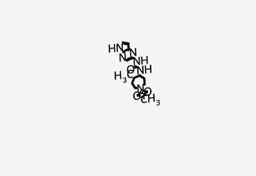 CC1CCN(S(C)(=O)=O)CCC1NC(=O)Nc1cnc2[nH]ccc2n1